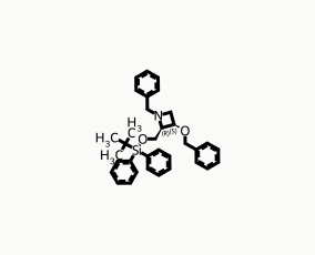 CC(C)(C)[Si](OC[C@@H]1[C@@H](OCc2ccccc2)CN1Cc1ccccc1)(c1ccccc1)c1ccccc1